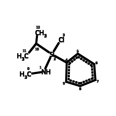 CN[Si](Cl)(c1ccccc1)C(C)C